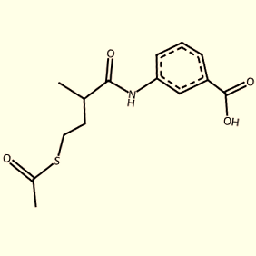 CC(=O)SCCC(C)C(=O)Nc1cccc(C(=O)O)c1